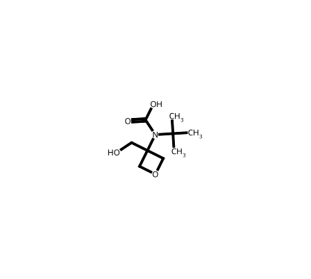 CC(C)(C)N(C(=O)O)C1(CO)COC1